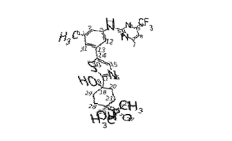 Cc1cc(Nc2nccc(C(F)(F)F)n2)cc(-c2cnc([C@]3(O)CC[C@@](O)(P(C)(C)=O)CC3)s2)c1